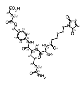 CC(C)C(NC(=O)CCCCCN1C(=O)C=CC1=O)C(=O)NC(CCCNC(N)=O)C(=O)Nc1ccc(COC(=O)NCC(=O)O)cc1